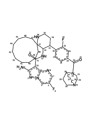 Nc1nn2cc(F)cnc2c1C(=O)NC1C(c2ccc(C(=O)N3CCN4CCC3CC4)cc2F)CCNC12CCCCCCCCCC2